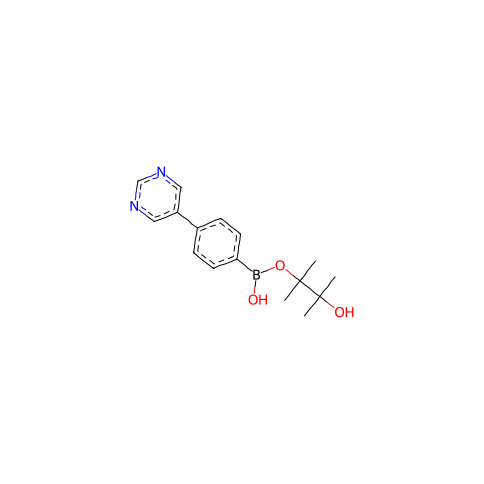 CC(C)(O)C(C)(C)OB(O)c1ccc(-c2cncnc2)cc1